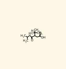 CC(C)NC(=O)C(CC(=O)O)C(C)(C)C